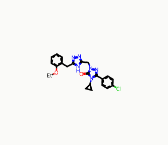 CCOc1ccccc1Cc1nnc(Cn2nc(-c3ccc(Cl)cc3)n(C3CC3)c2=O)[nH]1